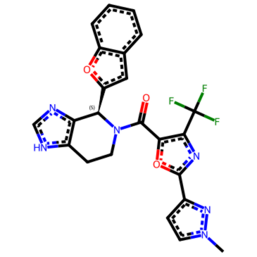 Cn1ccc(-c2nc(C(F)(F)F)c(C(=O)N3CCc4[nH]cnc4[C@H]3c3cc4ccccc4o3)o2)n1